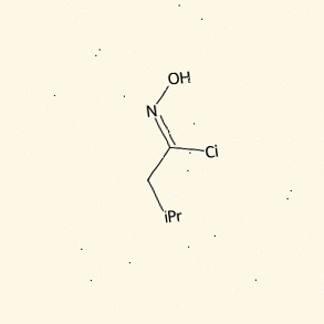 CC(C)C/C(Cl)=N/O